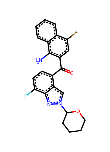 Nc1c(C(=O)c2ccc(F)c3nn(C4CCCCO4)cc23)cc(Br)c2ccccc12